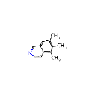 Cc1cc2cnccc2c(C)c1C